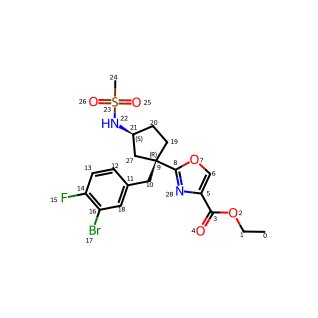 CCOC(=O)c1coc([C@@]2(Cc3ccc(F)c(Br)c3)CC[C@H](NS(C)(=O)=O)C2)n1